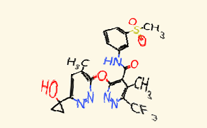 Cc1cc(C2(O)CC2)nnc1Oc1nnc(C(F)(F)F)c(C)c1C(=O)Nc1cccc(S(C)(=O)=O)c1